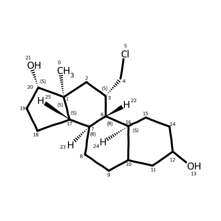 C[C@]12C[C@H](CCl)[C@H]3[C@@H](CCC4CC(O)CC[C@@H]43)[C@@H]1CC[C@@H]2O